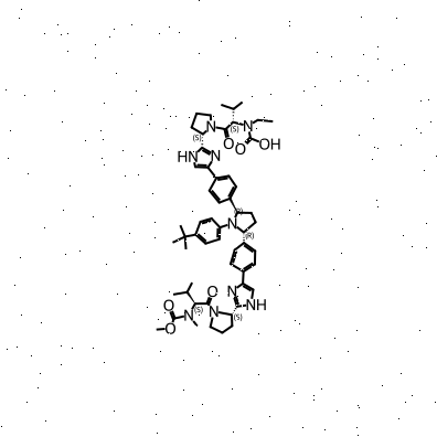 CCN(C(=O)O)[C@H](C(=O)N1CCC[C@H]1c1nc(-c2ccc([C@H]3CC[C@H](c4ccc(-c5c[nH]c([C@@H]6CCCN6C(=O)[C@H](C(C)C)N(C)C(=O)OC)n5)cc4)N3c3ccc(C(C)(C)C)cc3)cc2)c[nH]1)C(C)C